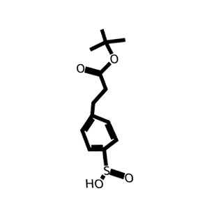 CC(C)(C)OC(=O)CCc1ccc(S(=O)O)cc1